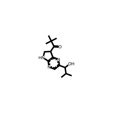 CC(C)C(O)c1cnc2c(n1)C(C(=O)C(C)(C)C)CN2